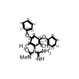 CNC(=O)N(C(=N)N)c1c(C)c(Oc2ccccc2)cc(Oc2ccccc2)c1C